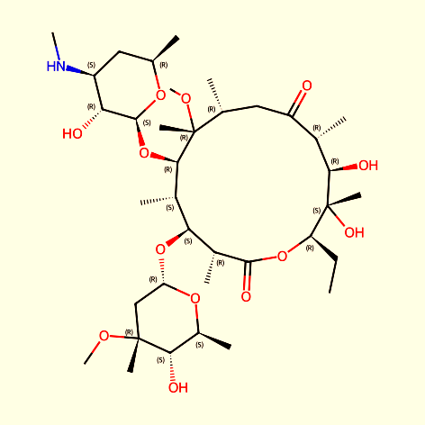 CC[C@H]1OC(=O)[C@H](C)[C@@H](O[C@H]2C[C@@](C)(OC)[C@@H](O)[C@H](C)O2)[C@H](C)[C@@H](O[C@@H]2O[C@H](C)C[C@H](NC)[C@H]2O)[C@](C)(OC)[C@H](C)CC(=O)[C@H](C)[C@@H](O)[C@]1(C)O